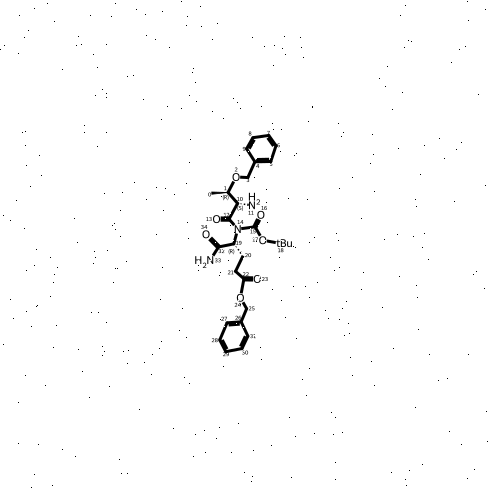 C[C@@H](OCc1ccccc1)[C@H](N)C(=O)N(C(=O)OC(C)(C)C)[C@H](CCC(=O)OCc1ccccc1)C(N)=O